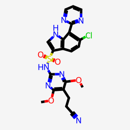 COc1nc(NS(=O)(=O)c2c[nH]c3c(-c4ncccn4)c(Cl)ccc23)nc(OC)c1CCC#N